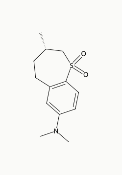 C[C@H]1CCc2cc(N(C)C)ccc2S(=O)(=O)C1